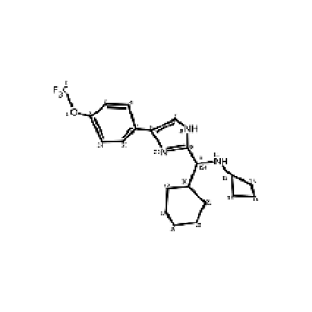 FC(F)(F)Oc1ccc(-c2c[nH]c([C@@H](NC3CCC3)C3CCCCC3)n2)cc1